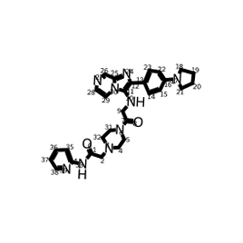 O=C(CN1CCN(C(=O)CNc2c(-c3ccc(N4CCCC4)cc3)nc3cnccn23)CC1)Nc1ccccn1